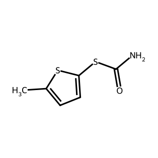 Cc1ccc(SC(N)=O)s1